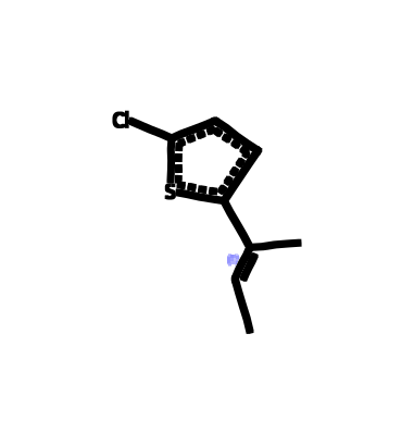 C/C=C(\C)c1ccc(Cl)s1